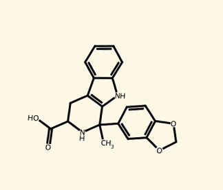 CC1(c2ccc3c(c2)OCO3)NC(C(=O)O)Cc2c1[nH]c1ccccc21